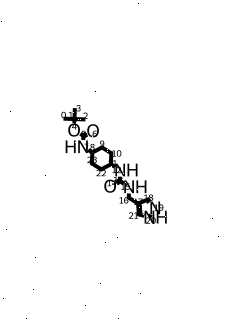 CC(C)(C)OC(=O)NC1CCC(NC(=O)NCc2cn[nH]c2)CC1